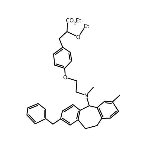 CCOC(=O)C(Cc1ccc(OCCN(C)C2c3ccc(Cc4ccccc4)cc3CCc3ccc(C)cc32)cc1)OCC